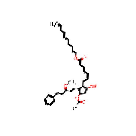 C=CCCCCCCCCOC(=O)CCC/C=C\C[C@@H]1[C@@H](CC[C@H](CCc2ccccc2)OC)[C@H](OC(C)=O)C[C@@H]1O